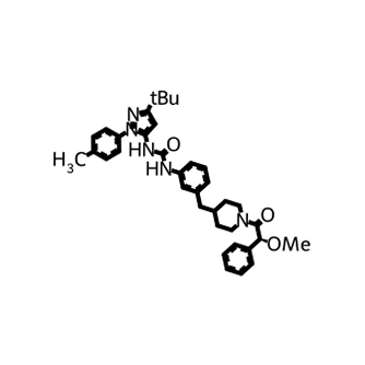 CO[C@H](C(=O)N1CCC(Cc2cccc(NC(=O)Nc3cc(C(C)(C)C)nn3-c3ccc(C)cc3)c2)CC1)c1ccccc1